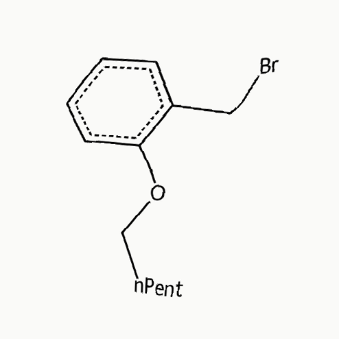 CCCCCCOc1ccccc1CBr